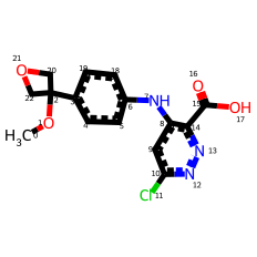 COC1(c2ccc(Nc3cc(Cl)nnc3C(=O)O)cc2)COC1